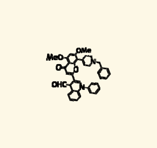 COc1cc(OC)c2c(=O)cc(C3=CN(c4ccccc4)c4ccccc4C3C=O)oc2c1C1=CCN(Cc2ccccc2)CC1